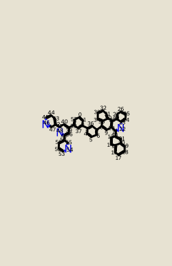 c1cc(-c2cccc(-c3cc4c(-c5ccc6ccccc6c5)nc5ccccc5c4c4ccccc34)c2)cc(-c2cc(-c3cccnc3)nc(-c3cccnc3)c2)c1